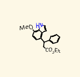 CCOC(=O)CC(c1ccccc1)c1ccc(OC)c2[nH]ccc12